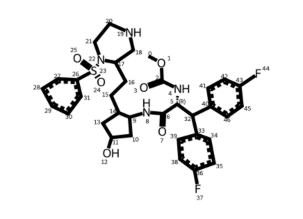 COC(=O)N[C@@H](C(=O)NC1CC(O)CC1CCC1CNCCN1S(=O)(=O)c1ccccc1)C(c1ccc(F)cc1)c1ccc(F)cc1